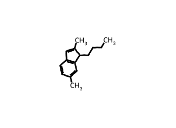 CCCCC1C(C)=Cc2ccc(C)cc21